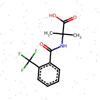 CC(C)(NC(=O)c1ccccc1C(F)(F)F)C(=O)O